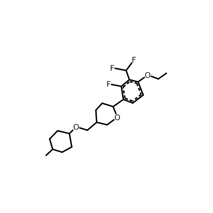 CCOc1ccc(C2CCC(COC3CCC(C)CC3)CO2)c(F)c1C(F)F